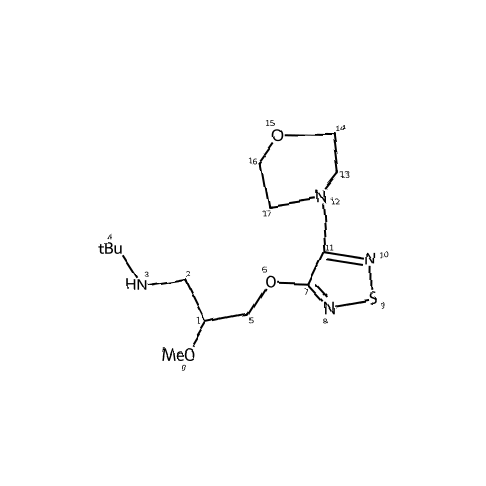 COC(CNC(C)(C)C)COc1nsnc1N1CCOCC1